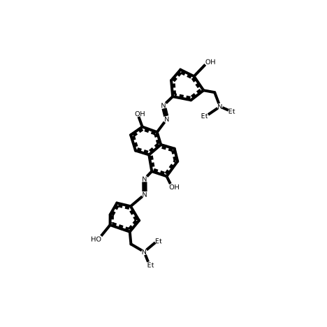 CCN(CC)Cc1cc(/N=N/c2c(O)ccc3c(/N=N/c4ccc(O)c(CN(CC)CC)c4)c(O)ccc23)ccc1O